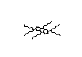 CCCCCc1c2ccc(N(CCCCC)CCCCC)cc2c(CCCCC)c2ccc(N(CCCCC)CCCCC)cc12